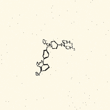 CN(C)C1CCN([S+]([O-])c2ccc(-n3ncc4c(Br)cccc43)cc2)CC1